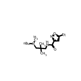 CCCCN(C)CC(C)(C)CNC(=O)c1cc(CC)on1